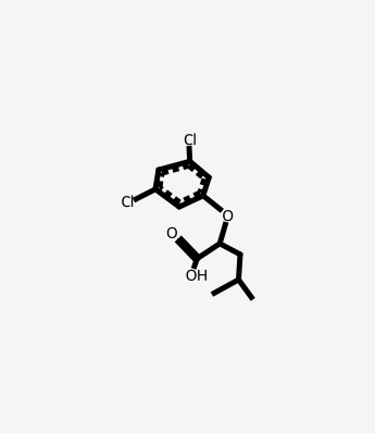 CC(C)CC(Oc1cc(Cl)cc(Cl)c1)C(=O)O